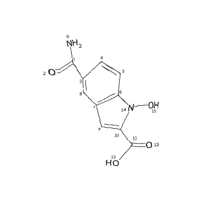 NC(=O)c1ccc2c(c1)cc(C(=O)O)n2O